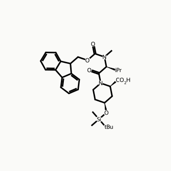 CC(C)[C@@H](C(=O)N1CC[C@H](O[Si](C)(C)C(C)(C)C)C[C@@H]1C(=O)O)N(C)C(=O)OCC1c2ccccc2-c2ccccc21